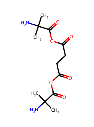 CC(C)(N)C(=O)OC(=O)CCC(=O)OC(=O)C(C)(C)N